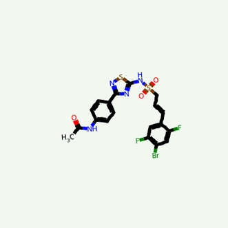 CC(=O)Nc1ccc(-c2nsc(NS(=O)(=O)CC=Cc3cc(F)c(Br)cc3F)n2)cc1